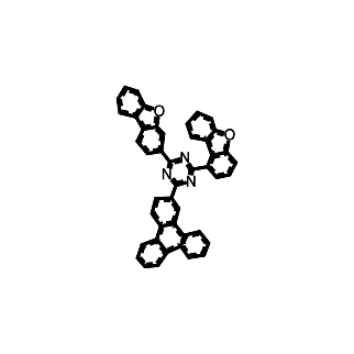 c1ccc2c(c1)oc1cc(-c3nc(-c4ccc5c6ccccc6c6ccccc6c5c4)nc(-c4cccc5oc6ccccc6c45)n3)ccc12